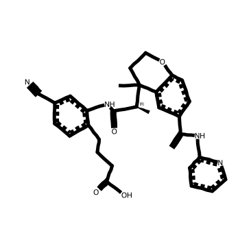 C=C(Nc1ccccn1)c1ccc2c(c1)C(C)([C@@H](C)C(=O)Nc1cc(C#N)ccc1CCCC(=O)O)CCO2